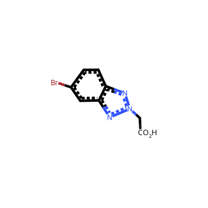 O=C(O)Cn1nc2ccc(Br)cc2n1